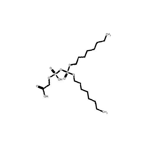 CCCCCCCCOP(=O)(OCCCCCCCC)OP(=O)(O)OCC(=O)O